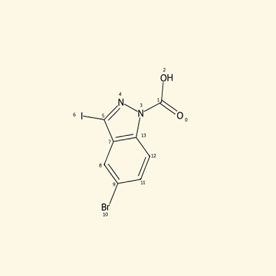 O=C(O)n1nc(I)c2cc(Br)ccc21